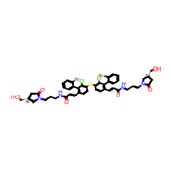 O=C(/C=C/c1ccc(Sc2ccc(/C=C/C(=O)NCCCN3C[C@H](CO)CC3=O)c(-c3ccccc3Br)c2Cl)c(Cl)c1-c1ccccc1Br)NCCCN1C[C@H](CO)CC1=O